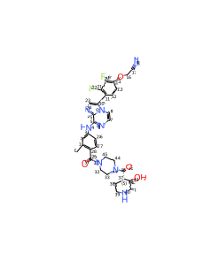 Cc1cc(Nc2nccn3c(-c4ccc(OCC#N)c(F)c4F)cnc23)ccc1C(=O)N1CCN(C(=O)[C@H]2CCNC[C@@H]2O)CC1